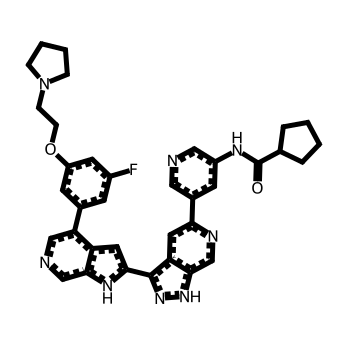 O=C(Nc1cncc(-c2cc3c(-c4cc5c(-c6cc(F)cc(OCCN7CCCC7)c6)cncc5[nH]4)n[nH]c3cn2)c1)C1CCCC1